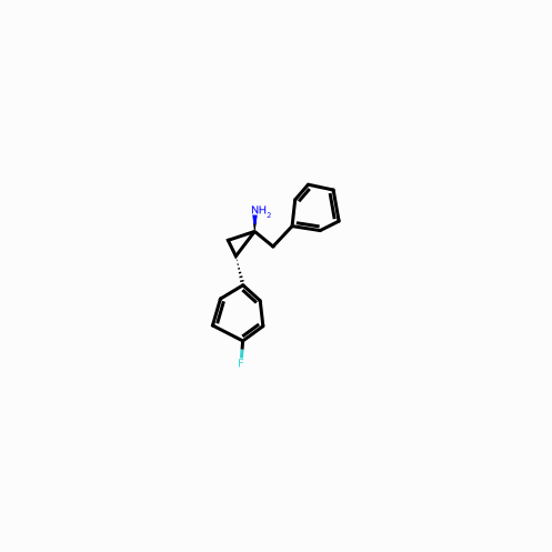 N[C@]1(Cc2ccccc2)C[C@H]1c1ccc(F)cc1